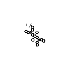 CC1C=Cc2ccc(N(c3ccc4ccccc4c3)c3ccc4c(C5CCCCC5)c5cc(N(c6ccc7ccccc7c6)c6ccc7ccccc7c6)ccc5c(C5CCCCC5)c4c3)cc2C1